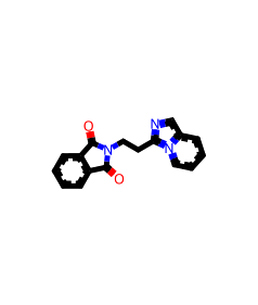 O=C1c2ccccc2C(=O)N1CCc1ncc2ccccn12